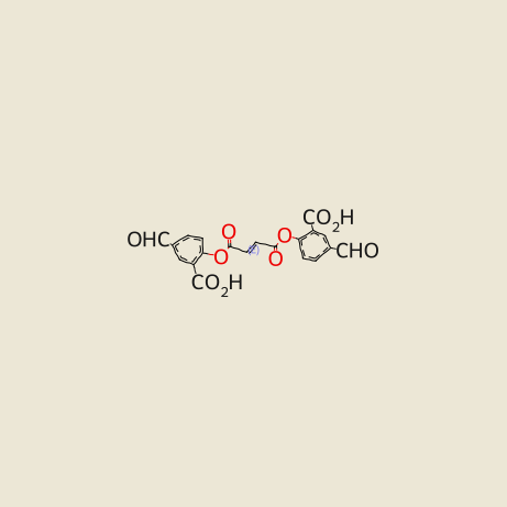 O=Cc1ccc(OC(=O)/C=C/C(=O)Oc2ccc(C=O)cc2C(=O)O)c(C(=O)O)c1